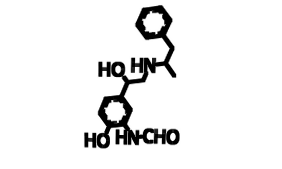 CC(Cc1ccccc1)NCC(O)c1ccc(O)c(NC=O)c1